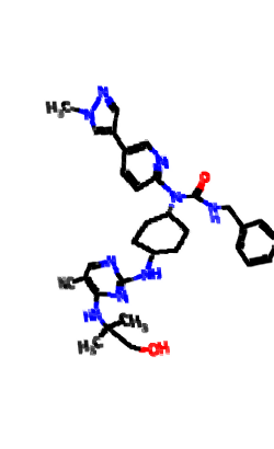 Cn1cc(-c2ccc(N(C(=O)NCc3ccccc3)[C@H]3CC[C@H](Nc4ncc(C#N)c(NC(C)(C)CO)n4)CC3)nc2)cn1